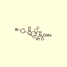 COC(=O)NC(C(=O)N1CC2(CC2)CC1c1ncc(-c2ccc(Br)cc2)[nH]1)C(C)C